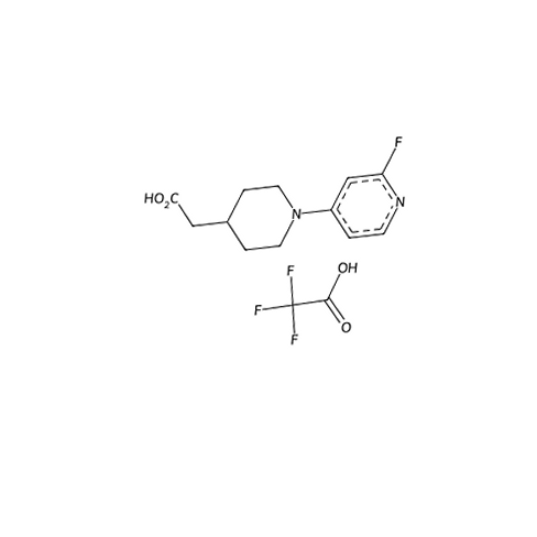 O=C(O)C(F)(F)F.O=C(O)CC1CCN(c2ccnc(F)c2)CC1